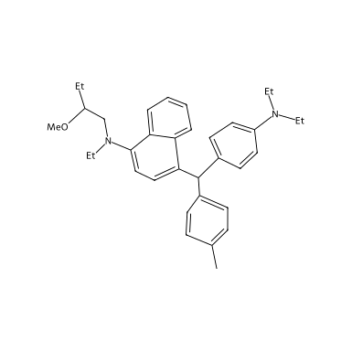 CCC(CN(CC)c1ccc(C(c2ccc(C)cc2)c2ccc(N(CC)CC)cc2)c2ccccc12)OC